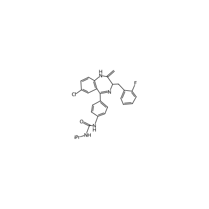 C=C1Nc2ccc(Cl)cc2C(c2ccc(NC(=O)NC(C)C)cc2)=NC1Cc1ccccc1F